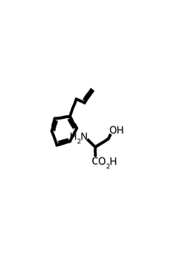 C=CCc1ccccc1.NC(CO)C(=O)O